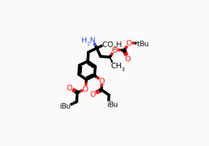 CCC(C)CC(=O)Oc1ccc(CC(N)(C[C@H](C)OC(=O)OC(C)(C)C)C(=O)O)cc1OC(=O)CC(C)CC